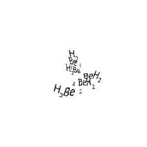 [BeH2].[BeH2].[BeH2].[BeH2].[BeH2]